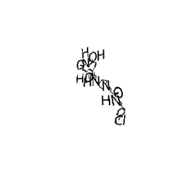 O=C(CCN1CCC(NC[C@H](O)c2ccc(O)c3[nH]c(=O)ccc23)CC1)NCc1ccc(Cl)cc1